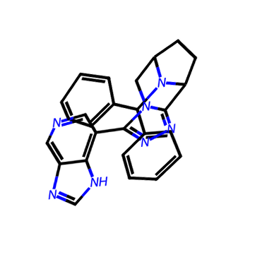 c1ccc(C(c2ccccc2)N2C3CCC2c2nnc(-c4cncc5nc[nH]c45)n2C3)cc1